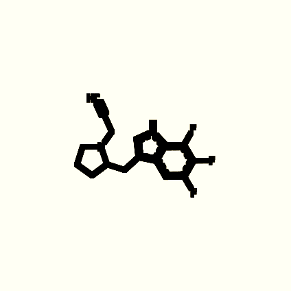 C#CCN1CCCC1Cc1c[nH]c2c(F)c(F)c(F)cc12